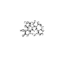 C[C@@H](N1CN(C[C@@H]2c3ccccc3SCc3cccc(C(F)(F)F)c32)n2ccc(=O)c(O)c2C1=O)C(F)(F)F